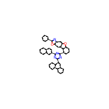 c1ccc(-c2nc3cc4oc5cccc(-c6nc(-c7ccc8ccccc8c7)nc(-c7cc8ccccc8c8ccccc78)n6)c5c4cc3o2)cc1